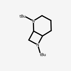 CC(C)(C)N1CCCC2C1CN2C(C)(C)C